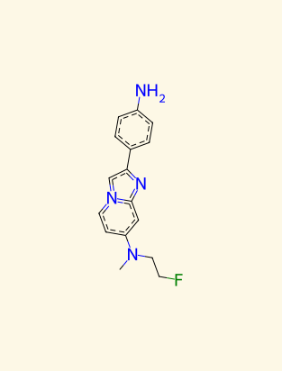 CN(CCF)c1ccn2cc(-c3ccc(N)cc3)nc2c1